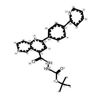 CC(C)(C)OC(=O)NNC(=O)c1cc(-c2ccc(-c3ccccn3)cc2)nc2ccncc12